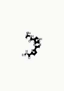 CCNC(=O)c1ccc(-c2cnc3[nH]cc(C(=O)N[C@@H](C)C(C)(C)C)c3n2)s1